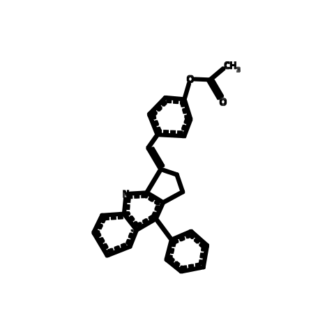 CC(=O)Oc1ccc(/C=C2\CCc3c2nc2ccccc2c3-c2ccccc2)cc1